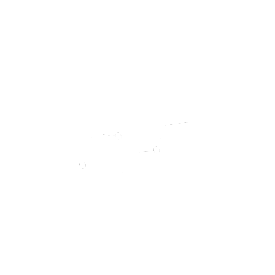 C=CCOC(C)OC(C)[O]